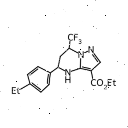 CCOC(=O)c1cnn2c1NC(c1ccc(CC)cc1)CC2C(F)(F)F